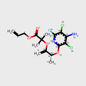 C=CCOC(=O)C(C)(C)OC(=C)[C@@H](C)Oc1nc(F)c(Cl)c(N)c1Cl